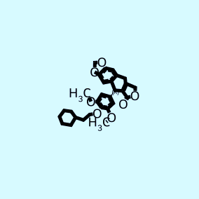 COc1cc([C@H]2C3=C(COC3=O)Cc3cc4c(cc32)OCO4)cc(OC)c1OCCC1CCCCC1